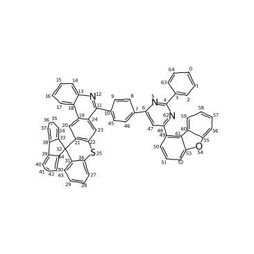 c1ccc(-c2nc(-c3ccc(-c4nc5ccccc5c5cc6c(cc45)Sc4ccccc4C64c5ccccc5-c5ccccc54)cc3)cc(-c3cccc4oc5ccccc5c34)n2)cc1